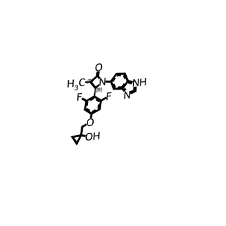 C[C@H]1C(=O)N(c2ccc3[nH]cnc3c2)[C@H]1c1c(F)cc(OCC2(O)CC2)cc1F